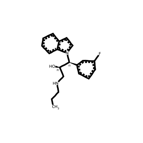 CCCNC[C@@H](O)[C@H](c1cccc(F)c1)n1ccc2ccccc21